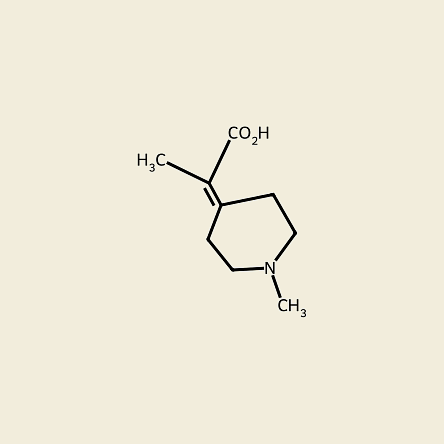 CC(C(=O)O)=C1CCN(C)CC1